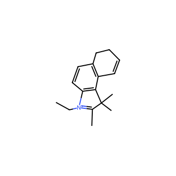 CC[N+]1=C(C)C(C)(C)c2c1ccc1c2C=CCC1